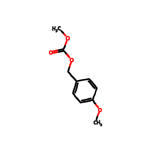 COC(=O)OCc1ccc(OC)cc1